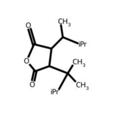 CC(C)C(C)C1C(=O)OC(=O)C1C(C)(C)C(C)C